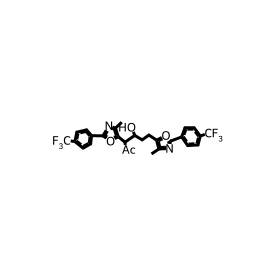 CC(=O)C(c1oc(-c2ccc(C(F)(F)F)cc2)nc1C)C(O)CCc1oc(-c2ccc(C(F)(F)F)cc2)nc1C